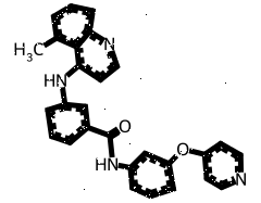 Cc1cccc2nccc(Nc3cccc(C(=O)Nc4cccc(Oc5ccncc5)c4)c3)c12